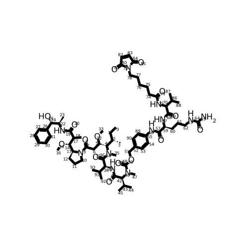 CC[C@H](C)[C@@H](C(CC(=O)N1CCC[C@H]1[C@H](OC)C(C)C(=O)N[C@H](C)[C@@H](O)c1ccccc1)OC)N(C)C(=O)[C@@H](NC(=O)[C@H](C(C)C)N(C)C(=O)OCc1ccc(NC(=O)[C@H](CCCNC(N)=O)NC(=O)C(NC(=O)CCCCCN2C(=O)C=CC2=O)C(C)C)cc1)C(C)C